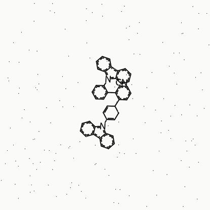 N#Cc1cccc(C2C=CC(n3c4ccccc4c4ccccc43)=CC2)c1-c1ccccc1-n1c2ccccc2c2ccccc21